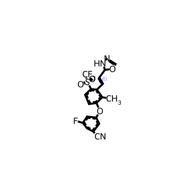 Cc1c(Oc2cc(F)cc(C#N)c2)ccc(S(=O)(=O)C(F)(F)F)c1/C=C/C1NN=CO1